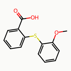 COc1ccccc1Sc1ccccc1C(=O)O